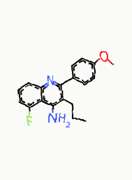 CCCc1c(-c2ccc(OC)cc2)nc2cccc(F)c2c1N